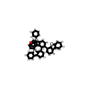 c1ccc(-n2c3ccccc3c3c(-c4cccc5c6ccccc6n(-c6ccccc6)c45)c(-c4cccc5c4oc4ccccc45)ccc32)cc1